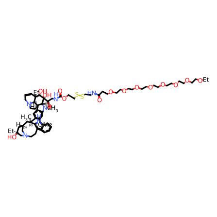 CCOCCOCCOCCOCCOCCOCCOCCOCCC(=O)NCCSSCCOC(=O)NCC(=O)[C@@]1(O)[C@H](O)[C@]2(CC)C=CCN3CC[C@@]4(c5cc([C@@]6(C)C[C@@H]7CN(CCc8c6[nH]c6ccccc86)C[C@](O)(CC)C7)c(OC)cc5N(C)[C@@H]14)[C@@H]32